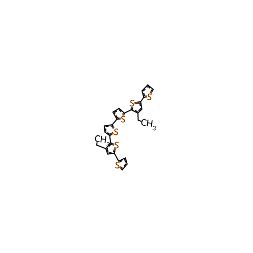 CCc1cc(-c2cccs2)sc1-c1ccc(-c2ccc(-c3sc(-c4cccs4)cc3CC)s2)s1